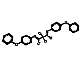 ClC(=Nc1ccc(Oc2ccccc2)cc1)C(Cl)(Cl)C(Cl)=Nc1ccc(Oc2ccccc2)cc1